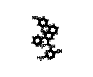 C[C@H](Nc1nc(N)ncc1C#N)c1cc2cccc(-c3ccc(C#N)cc3)c2c(=O)n1-c1ccccc1